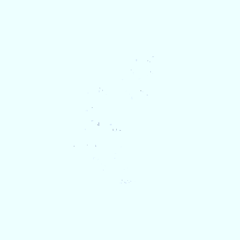 CNC(=O)c1ccc(C(C)CNc2cc(-c3cnc4c(cnn4C)c3)ncn2)c(OC)c1